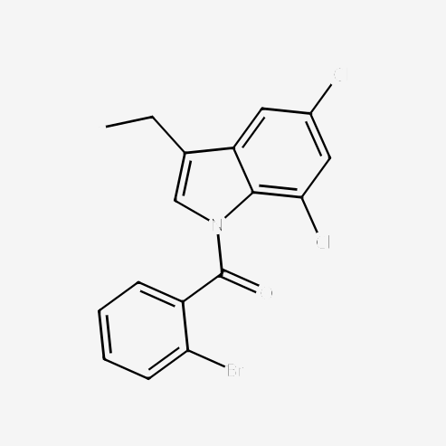 [CH2]Cc1cn(C(=O)c2ccccc2Br)c2c(Cl)cc(Cl)cc12